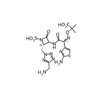 CC(C)(O/N=C(\C(=O)NC1C(=O)N(S(=O)(=O)O)[C@H]1Cn1nnc(CN)n1)c1csc(N)n1)C(=O)O